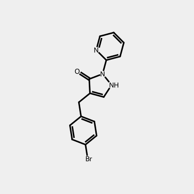 O=c1c(Cc2ccc(Br)cc2)c[nH]n1-c1ccccn1